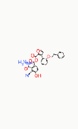 N#Cc1c(O)ccc(C(=O)OC(=O)c2occc2-c2ccccc2OCCc2ccccc2)c1C(=O)NN